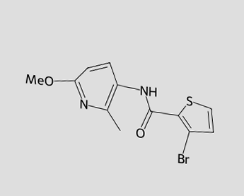 COc1ccc(NC(=O)c2sccc2Br)c(C)n1